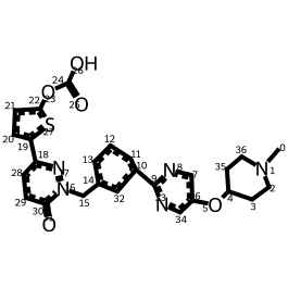 CN1CCC(Oc2cnc(-c3cccc(Cn4nc(-c5ccc(OC(=O)O)s5)ccc4=O)c3)nc2)CC1